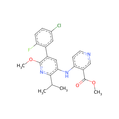 COC(=O)c1cnccc1Nc1cc(-c2cc(Cl)ccc2F)c(OC)nc1C(C)C